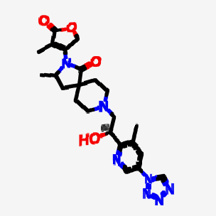 CC1=C(N2C(=O)C3(CCN(C[C@H](O)c4ncc(-n5cnnn5)cc4C)CC3)CC2C)COC1=O